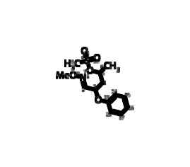 CON=CC(CC(C)OS(C)(=O)=O)Oc1ccccc1